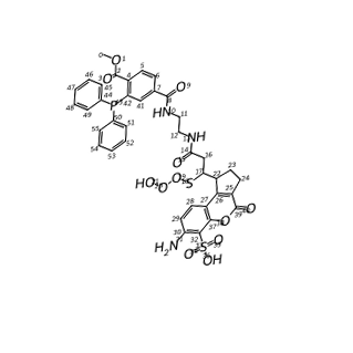 COC(=O)c1ccc(C(=O)NCCNC(=O)CC(SOOO)C2CCc3c2c2ccc(N)c(S(=O)(=O)O)c2oc3=O)cc1P(c1ccccc1)c1ccccc1